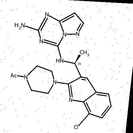 CC(=O)N1CCN(c2nc3c(Cl)cccc3cc2[C@H](C)Nc2nc(N)nc3ccnn23)CC1